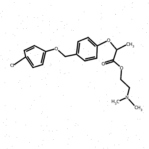 CC(Oc1ccc(COc2ccc(Cl)cc2)cc1)C(=O)OCCN(C)C